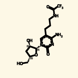 Nc1nc(=O)n([C@@H]2O[C@H](CO)C[C@@H]2O)cc1CCCNC(=O)C(F)(F)F